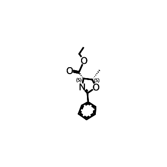 CCOC(=O)[C@H]1N=C(c2ccccc2)O[C@H]1C